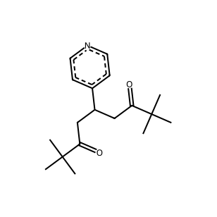 CC(C)(C)C(=O)CC(CC(=O)C(C)(C)C)c1ccncc1